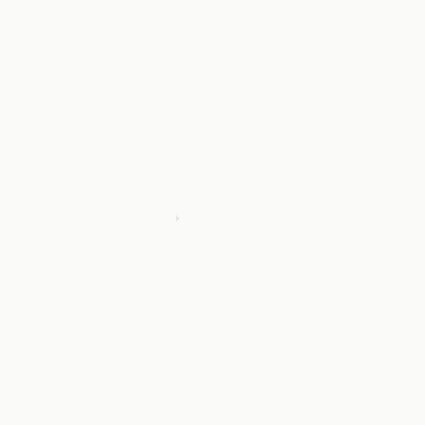 Cl.[O]=[Ti](=[O])[Cl]